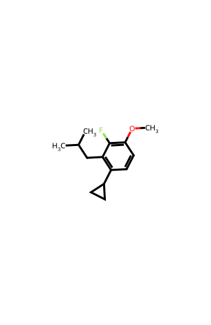 COc1ccc(C2CC2)c(CC(C)C)c1F